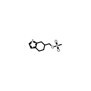 CS(=O)(=O)OCC1CCc2ccsc2C1